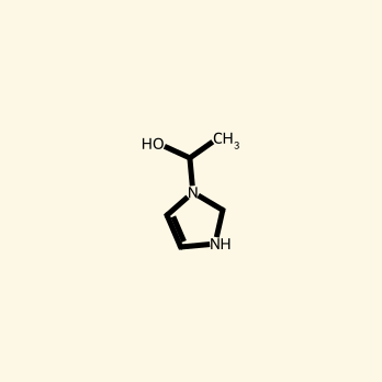 CC(O)N1C=CNC1